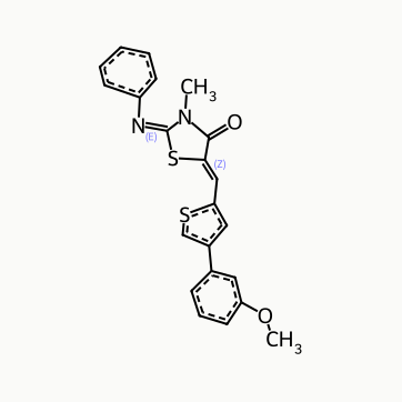 COc1cccc(-c2csc(/C=C3\S/C(=N/c4ccccc4)N(C)C3=O)c2)c1